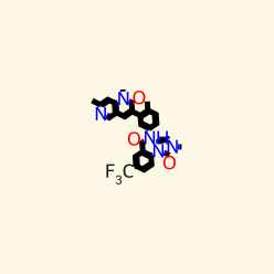 Cc1cc2c(cn1)cc(-c1cc(NC(=O)c3cc(C(F)(F)F)ccc3N3CCN(C)C3=O)ccc1C)c(=O)n2C